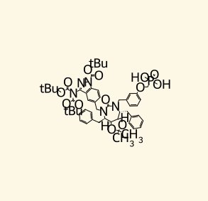 CC(C)(C)OC(=O)N(C(=O)OC(C)(C)C)c1nn(C(=O)OC(C)(C)C)c2ccc(CN3C(=O)N(Cc4cccc(OCP(=O)(O)O)c4)[C@H](Cc4ccccc4)[C@@H]4OC(C)(C)O[C@H]4[C@H]3Cc3ccccc3)cc12